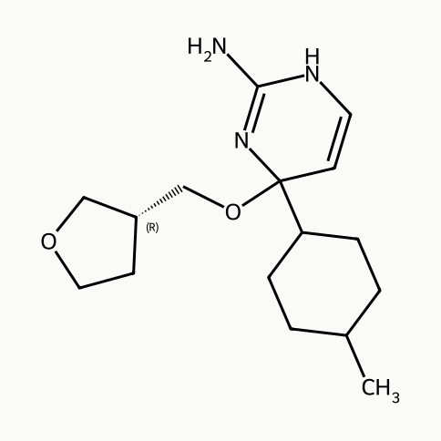 CC1CCC(C2(OC[C@@H]3CCOC3)C=CNC(N)=N2)CC1